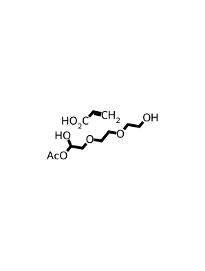 C=CC(=O)O.CC(=O)OC(O)COCCOCCO